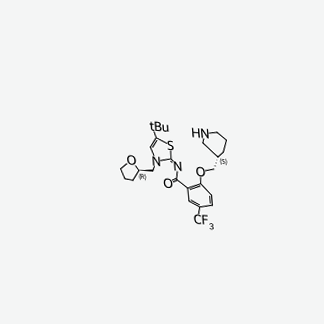 CC(C)(C)c1cn(C[C@H]2CCCO2)c(=NC(=O)c2cc(C(F)(F)F)ccc2OC[C@H]2CCCNC2)s1